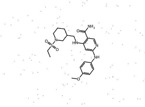 CCS(=O)(=O)N1CCCC(CNc2cc(Nc3ccc(OC)cc3)ncc2C(N)=O)C1